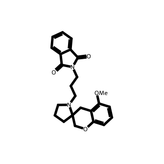 COc1cccc2c1CC1(CCCN1CCCN1C(=O)c3ccccc3C1=O)CO2